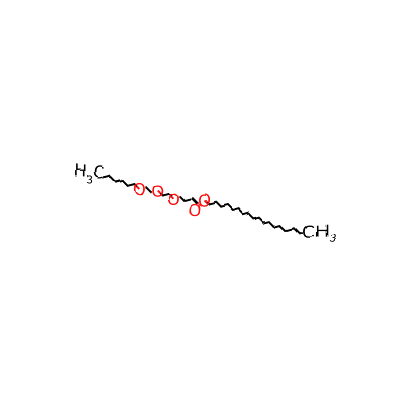 CCCCCCCCCCCCCCCCCCOC(=O)CCCOCCOCCOCCCCCCC